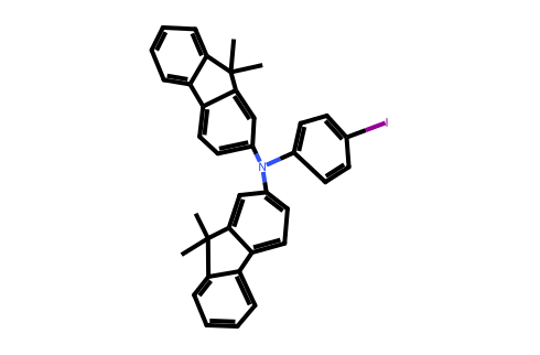 CC1(C)c2ccccc2-c2ccc(N(c3ccc(I)cc3)c3ccc4c(c3)C(C)(C)c3ccccc3-4)cc21